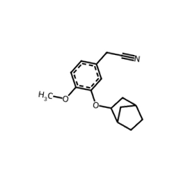 COc1ccc(CC#N)cc1OC1CC2CCC1C2